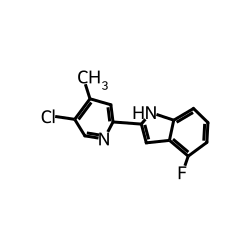 Cc1cc(-c2cc3c(F)cccc3[nH]2)ncc1Cl